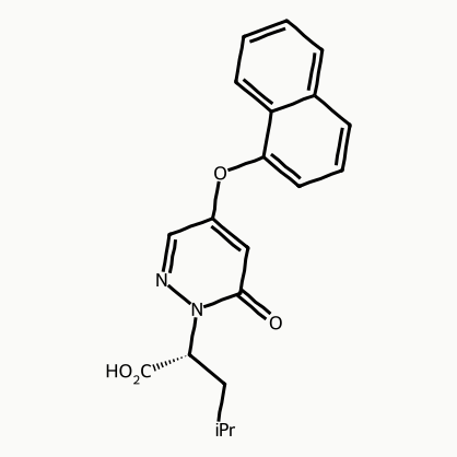 CC(C)C[C@H](C(=O)O)n1ncc(Oc2cccc3ccccc23)cc1=O